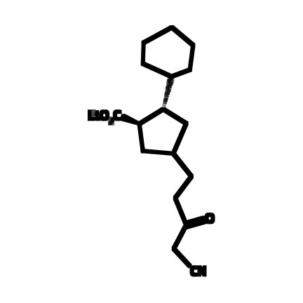 CCOC(=O)[C@@H]1CC(CCC(=O)CC#N)C[C@H]1C1CCCCC1